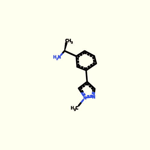 C[C@H](N)c1cccc(-c2cnn(C)c2)c1